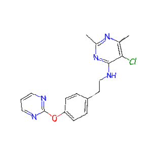 Cc1nc(C)c(Cl)c(NCCc2ccc(Oc3ncccn3)cc2)n1